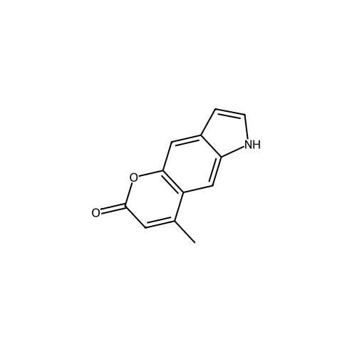 Cc1cc(=O)oc2cc3cc[nH]c3cc12